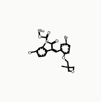 CC1(COc2ccc(Br)cc2C=C2C(=O)N(C(=O)OC(C)(C)C)c3cc(Cl)ccc32)COC1